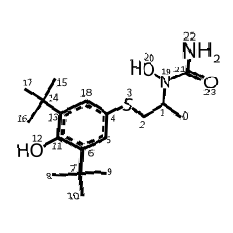 CC(CSc1cc(C(C)(C)C)c(O)c(C(C)(C)C)c1)N(O)C(N)=O